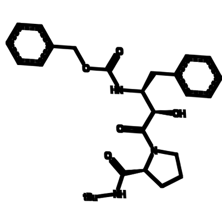 CC(C)(C)NC(=O)[C@@H]1CCCN1C(=O)[C@H](O)[C@H](Cc1ccccc1)NC(=O)OCc1ccccc1